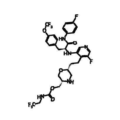 O=C(NCC(F)(F)F)OC[C@@H]1CO[C@H](CCc2c(F)cncc2N[C@@H](Cc2ccc(OC(F)(F)F)cc2)C(=O)Nc2ccc(F)cc2)CN1